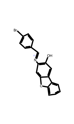 Oc1cc2c(cc1/N=C/c1ccc(Br)cc1)oc1ccccc12